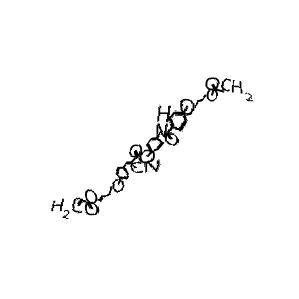 C=CC(=O)OCCCCOc1ccc(/C=C(\C#N)C(=O)Oc2ccc(NC(=O)c3ccc(OCCCCOC(=O)C=C)cc3)cc2)cc1